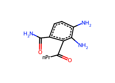 CCCC(=O)c1c(C(N)=O)ccc(N)c1N